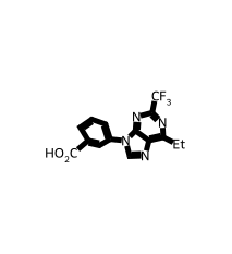 CCc1nc(C(F)(F)F)nc2c1ncn2-c1cccc(C(=O)O)c1